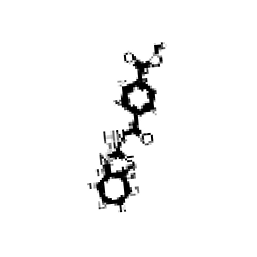 COC(=O)c1ccc(C(=O)Nc2nc3ccccc3s2)cc1